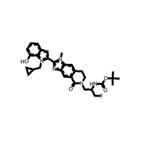 Cn1c(-c2cc3cccc(O)c3n2CC2CC2)nc2cc3c(cc21)CCN(CC(CF)NC(=O)OC(C)(C)C)C3=O